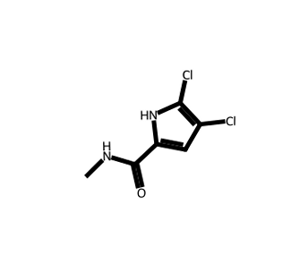 CNC(=O)c1cc(Cl)c(Cl)[nH]1